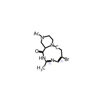 CC(=O)N1CCN2CC/C(Br)=C\N=C(/C)NC(=O)C2C1